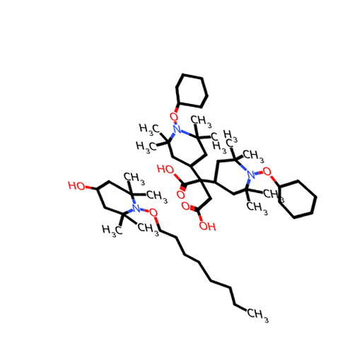 CC1(C)CC(C(CC(=O)O)(C(=O)O)C2CC(C)(C)N(OC3CCCCC3)C(C)(C)C2)CC(C)(C)N1OC1CCCCC1.CCCCCCCCON1C(C)(C)CC(O)CC1(C)C